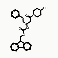 O=C(N[C@@H](CSc1ccccc1)CC(=O)N1CCC(O)CC1)OCC1c2ccccc2-c2ccccc21